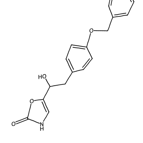 O=c1[nH]cc(C(O)Cc2ccc(OCc3ccccc3)cc2)o1